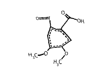 COc1cc(I=O)c(C(=O)O)cc1OC